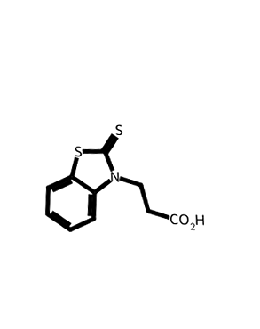 O=C(O)CCn1c(=S)sc2ccccc21